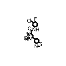 CN1C(C(=O)Nc2ccc(F)c(Cl)c2)CC(c2ccc3scnc3c2)N[S+]1[O-]